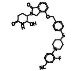 N#Cc1ccc(N2CCC(Sc3ccc(COc4cccc5c4CN(C4CCC(=O)NC4O)C5=O)cc3)CC2)c(F)c1